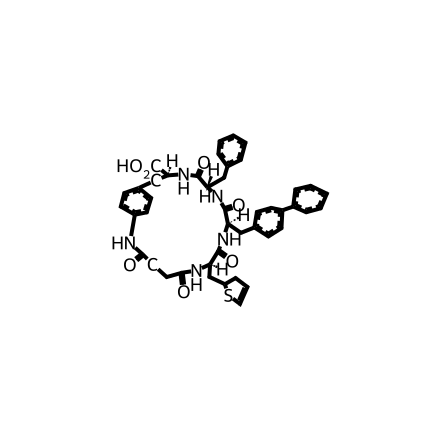 O=C1CCC(=O)N[C@H](CC2CC=CS2)C(=O)N[C@H](Cc2ccc(-c3ccccc3)cc2)C(=O)N[C@@H](Cc2ccccc2)C(=O)N[C@H](C(=O)O)Cc2ccc(cc2)N1